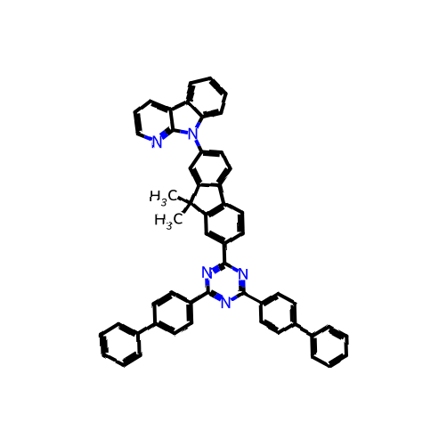 CC1(C)c2cc(-c3nc(-c4ccc(-c5ccccc5)cc4)nc(-c4ccc(-c5ccccc5)cc4)n3)ccc2-c2ccc(-n3c4ccccc4c4cccnc43)cc21